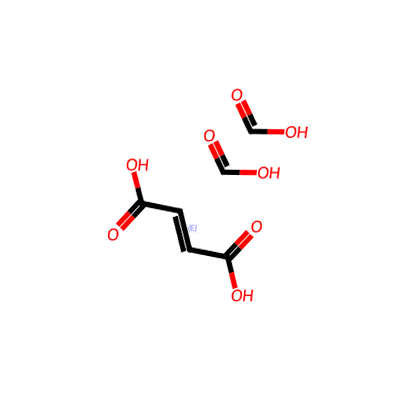 O=C(O)/C=C/C(=O)O.O=CO.O=CO